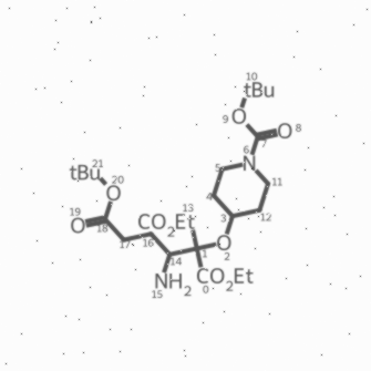 CCOC(=O)C(OC1CCN(C(=O)OC(C)(C)C)CC1)(C(=O)OCC)C(N)CCC(=O)OC(C)(C)C